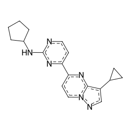 c1cc(-c2ccn3ncc(C4CC4)c3n2)nc(NC2CCCC2)n1